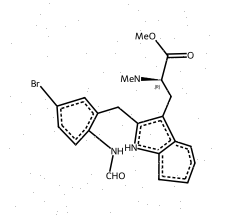 CN[C@H](Cc1c(Cc2cc(Br)ccc2NC=O)[nH]c2ccccc12)C(=O)OC